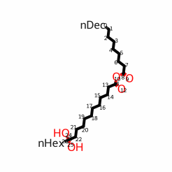 CCCCCCCCCCCCCCCCCC(=O)OC(=O)CCCCCCCCCCC(O)(O)CCCCCC